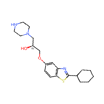 O[C@H](COc1ccc2sc(C3CCCCC3)nc2c1)CN1CCNCC1